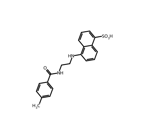 Cc1ccc(C(=O)NCCNc2cccc3c(S(=O)(=O)O)cccc23)cc1